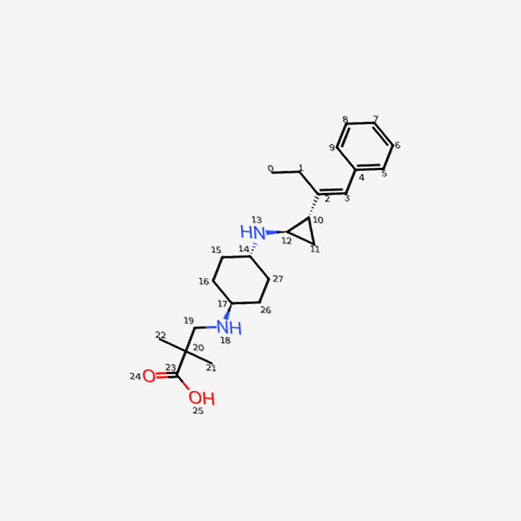 CC/C(=C\c1ccccc1)[C@@H]1C[C@H]1N[C@H]1CC[C@H](NCC(C)(C)C(=O)O)CC1